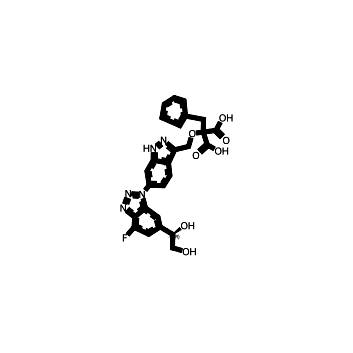 O=C(O)C(Cc1ccccc1)(OCc1n[nH]c2cc(-n3nnc4c(F)cc([C@@H](O)CO)cc43)ccc12)C(=O)O